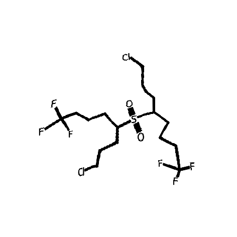 O=S(=O)(C(CCCCl)CCCC(F)(F)F)C(CCCCl)CCCC(F)(F)F